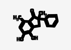 Cc1cc(O)c(O)c2c1C(=O)C(C)(c1ccccc1)C2